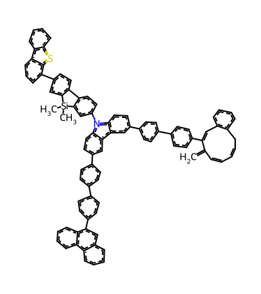 C=C1/C=C\C=C/Cc2ccccc2/C=C\1c1ccc(-c2ccc(-c3ccc4c(c3)c3cc(-c5ccc(-c6ccc(-c7cc8ccccc8c8ccccc78)cc6)cc5)ccc3n4-c3ccc4c(c3)[Si](C)(C)c3cc(-c5cccc6c5sc5ccccc56)ccc3-4)cc2)cc1